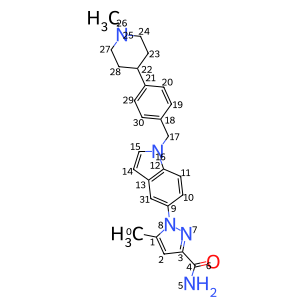 Cc1cc(C(N)=O)nn1-c1ccc2c(ccn2Cc2ccc(C3CCN(C)CC3)cc2)c1